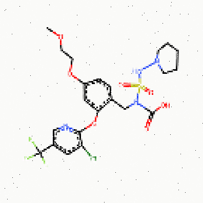 COCCOc1ccc(CN(C(=O)O)S(=O)(=O)NN2CCCCC2)c(Oc2ncc(C(F)(F)F)cc2Cl)c1